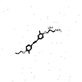 CCCOc1ccc(C#Cc2ccc(OC[C@H](O)CN)c(C)c2)cc1C